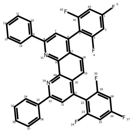 Fc1cc(F)c(-c2cc(-c3ccccc3)nc3c2ccc2c(-c4c(F)cc(F)cc4F)cc(-c4ccccc4)nc23)c(F)c1